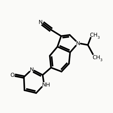 CC(C)n1cc(C#N)c2cc(-c3nc(=O)cc[nH]3)ccc21